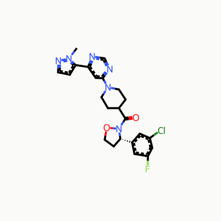 Cn1nccc1-c1cc(N2CCC(C(=O)N3OCC[C@H]3c3cc(F)cc(Cl)c3)CC2)ncn1